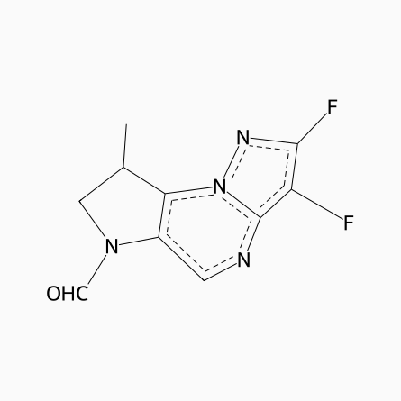 CC1CN(C=O)c2cnc3c(F)c(F)nn3c21